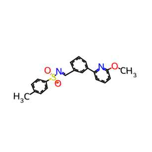 COc1cccc(-c2cccc(C=NS(=O)(=O)c3ccc(C)cc3)c2)n1